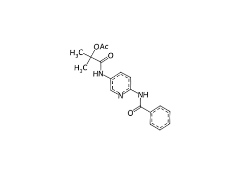 CC(=O)OC(C)(C)C(=O)Nc1ccc(NC(=O)c2ccccc2)nc1